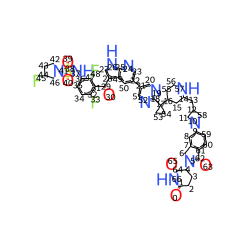 O=C1CCC(N2Cc3cc(N4CC(CC5CC(C6(c7ncc(-c8cnc9[nH]cc(C(=O)c%10c(F)ccc(NS(=O)(=O)N%11CC[C@@H](F)C%11)c%10F)c9c8)cn7)CC6)CCN5)C4)ccc3C2=O)C(=O)N1